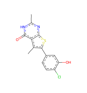 Cc1nc2sc(-c3ccc(Cl)c(O)c3)c(C)c2c(=O)[nH]1